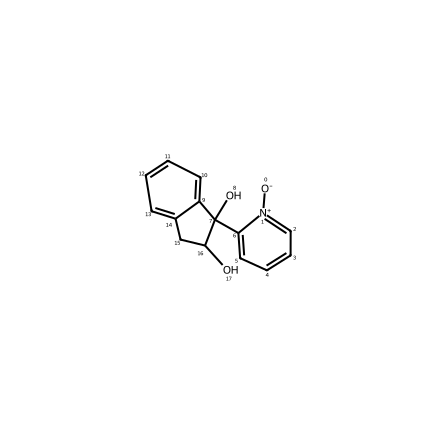 [O-][n+]1ccccc1C1(O)c2ccccc2CC1O